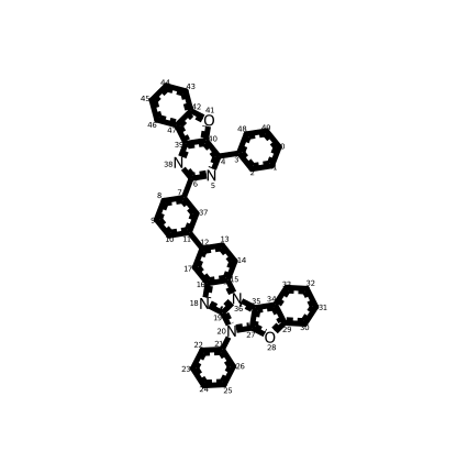 c1ccc(-c2nc(-c3cccc(-c4ccc5c(c4)nc4n(-c6ccccc6)c6oc7ccccc7c6n54)c3)nc3c2oc2ccccc23)cc1